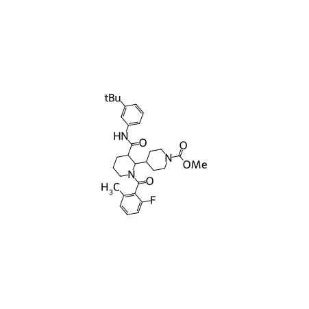 COC(=O)N1CCC(C2C(C(=O)Nc3cccc(C(C)(C)C)c3)CCCN2C(=O)c2c(C)cccc2F)CC1